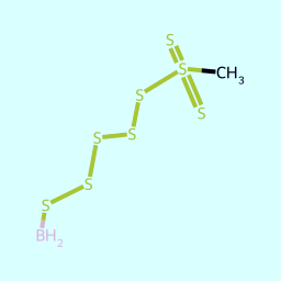 BSSSSSS(C)(=S)=S